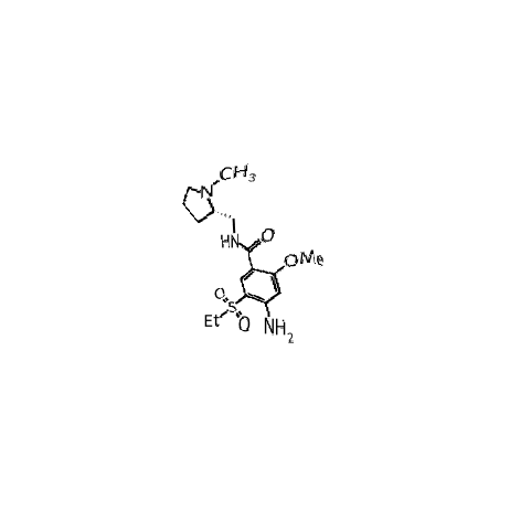 CCS(=O)(=O)c1cc(C(=O)NC[C@@H]2CCCN2C)c(OC)cc1N